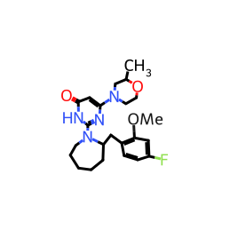 COc1cc(F)ccc1CC1CCCCCN1c1nc(N2CCOC(C)C2)cc(=O)[nH]1